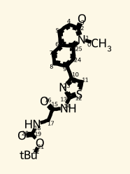 Cn1c(=O)ccc2ccc(-c3csc(NC(=O)CNC(=O)OC(C)(C)C)n3)cc21